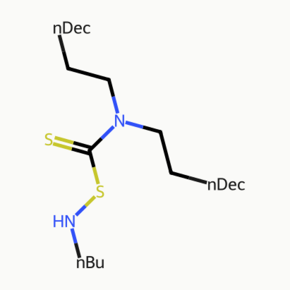 CCCCCCCCCCCCN(CCCCCCCCCCCC)C(=S)SNCCCC